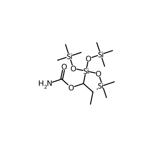 CCC(OC(N)=O)[Si](O[Si](C)(C)C)(O[Si](C)(C)C)O[Si](C)(C)C